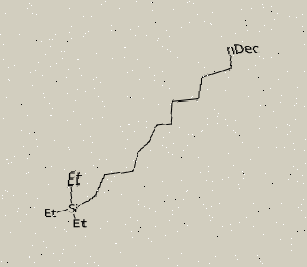 [CH2]CCCCCCCCCCCCCCCCCCCC[Si](CC)(CC)CC